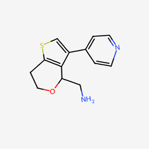 NCC1OCCc2scc(-c3ccncc3)c21